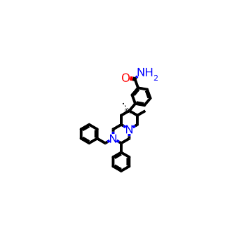 CC1CN2CC(c3ccccc3)N(Cc3ccccc3)CC2C[C@@]1(C)c1cccc(C(N)=O)c1